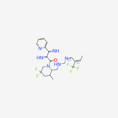 C/C=C(\C=N/CNCC1C(C)CC(F)(F)CN1C(=O)C(=N)C(=N)c1ccccn1)C(F)(F)F